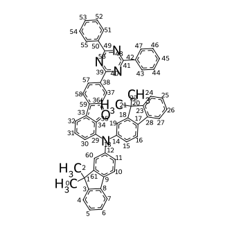 CC1(C)c2ccccc2-c2ccc(N(c3ccc4c(c3)C(C)(C)c3ccccc3-4)c3cccc4c3oc3cc(-c5nc(-c6ccccc6)nc(-c6ccccc6)n5)ccc34)cc21